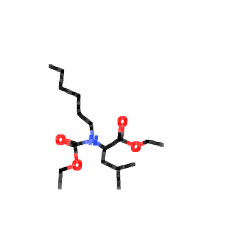 CCCCCCN(C(=O)OCC)C(CC(C)C)C(=O)OCC